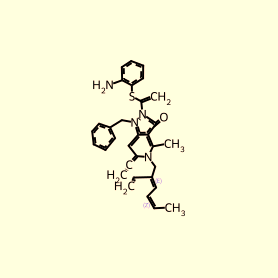 C=C=C1C=c2c(c(=O)n(C(=C)Sc3ccccc3N)n2Cc2ccccc2)=C(C)N1C/C(C=C)=C/C=C\C